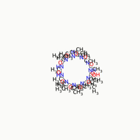 C/C=C/CC(C)C(O)C1C(=O)NC(CC)C(=O)N(C)CC(=O)N(C)C(C(C)CC)C(=O)NC(C(C)C)C(=O)N(C)C(CC(C)C)C(=O)NC(C)C(=O)NC(C)C(=O)N(C)C(CC(C)C)C(=O)N(C)C(CC(C)C)C(=O)N(C)C(C(C)C)C(=O)N1C